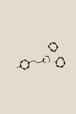 FC(F)(F)c1ccc(CCC2=N[C@@H](c3ccccc3)[C@@H](c3ccccc3)N2)cc1